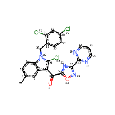 Cc1ccc2c(c1)c(C(=O)c1nc(-c3ncccn3)no1)c(Cl)n2Cc1ccc(Cl)cc1Cl